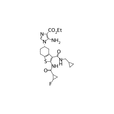 CCOC(=O)c1ncn([C@H]2CCc3sc(NC(=O)C4CC4F)c(C(=O)NCC4CC4)c3C2)c1N